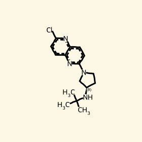 CC(C)(C)N[C@@H]1CCN(c2ccc3nc(Cl)ccc3n2)C1